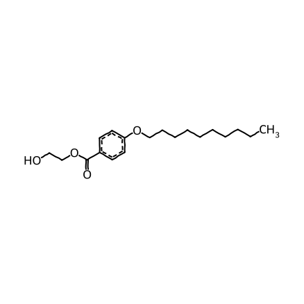 CCCCCCCCCCOc1ccc(C(=O)OCCO)cc1